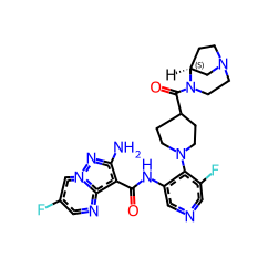 Nc1nn2cc(F)cnc2c1C(=O)Nc1cncc(F)c1N1CCC(C(=O)N2CCN3CC[C@H]2C3)CC1